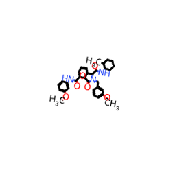 COc1cccc(CN2C(=O)C3C(C(=O)Nc4cccc(OC)c4)C4C=CC3(O4)C2C(=O)NC2CCCCC2C)c1